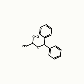 [CH2]CCC(C=O)OC(c1ccccc1)c1ccccc1